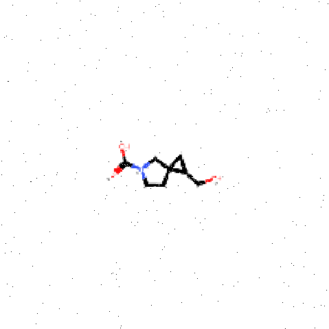 O=C(O)N1CCC2(CC2CO)C1